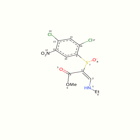 CCNC=C(C(=O)OC)[S+]([O-])c1cc([N+](=O)[O-])c(Cl)cc1Cl